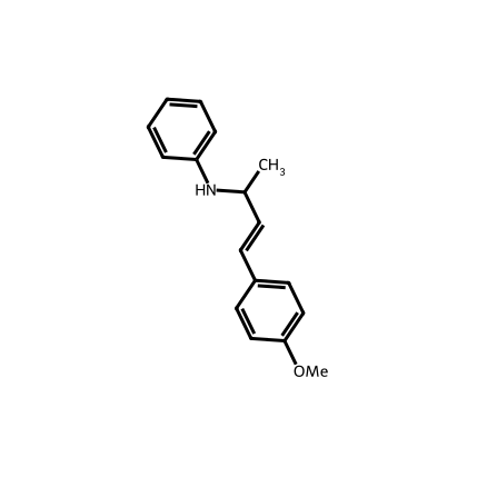 COc1ccc(C=CC(C)Nc2ccccc2)cc1